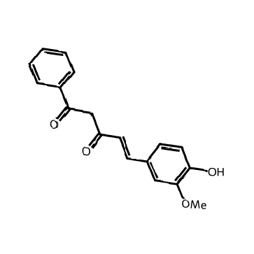 COc1cc(/C=C/C(=O)CC(=O)c2ccccc2)ccc1O